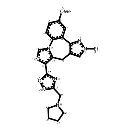 CCn1cc2c(n1)-c1cc(OC)ccc1-n1cnc(-c3nc(CN4CCCC4)no3)c1C2